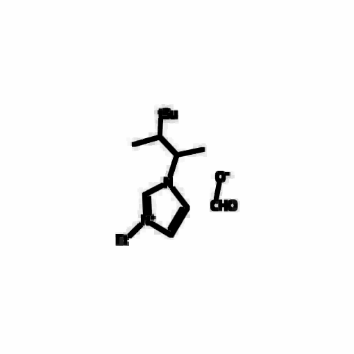 CC[n+]1ccn(C(C)C(C)C(C)(C)C)c1.O=C[O-]